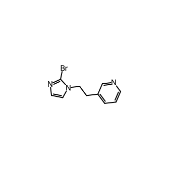 Brc1nccn1CCc1cccnc1